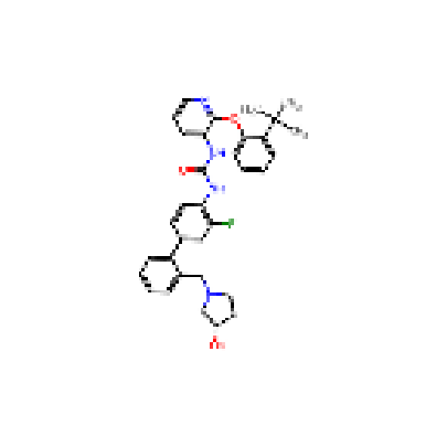 CC(C)(C)c1ccccc1Oc1ncccc1NC(=O)Nc1ccc(-c2ccccc2CN2CC[C@H](O)C2)cc1F